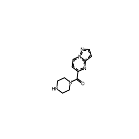 O=C(c1ccn2nccc2n1)N1CCNCC1